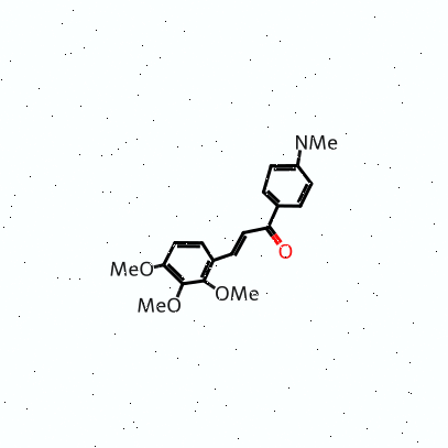 CNc1ccc(C(=O)C=Cc2ccc(OC)c(OC)c2OC)cc1